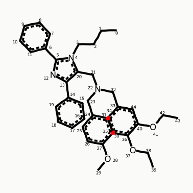 CCCCn1c(-c2ccccc2)nc(-c2ccccc2)c1CN(Cc1ccc(OC)cc1)Cc1ccc(OCC)c(OCC)c1